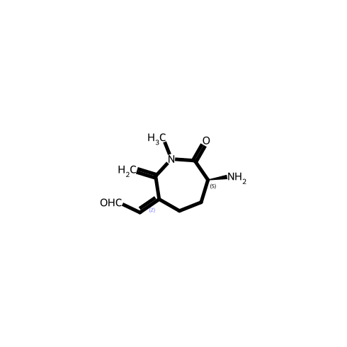 C=C1/C(=C\C=O)CC[C@H](N)C(=O)N1C